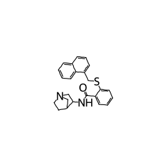 O=C(NC1CN2CCC1C2)c1ccccc1SCc1cccc2ccccc12